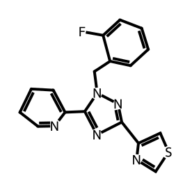 Fc1ccccc1Cn1nc(-c2cscn2)nc1-c1ccccn1